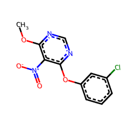 COc1ncnc(Oc2cccc(Cl)c2)c1[N+](=O)[O-]